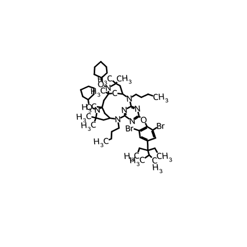 CCCCN1c2nc(Oc3c(Br)cc(C(CC)(CC)C(C)C)cc3Br)nc(n2)N(CCCC)C2CC(C)(C)N(OC3CCCCC3)C(C)(C2)CC2(C)CC1CC(C)(C)N2OC1CCCCC1